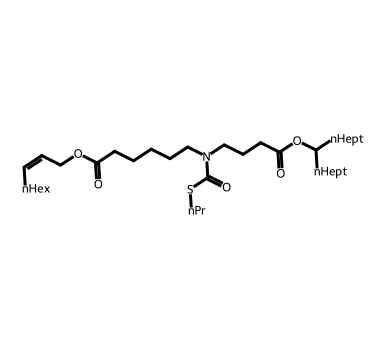 CCCCCC/C=C\COC(=O)CCCCCN(CCCC(=O)OC(CCCCCCC)CCCCCCC)C(=O)SCCC